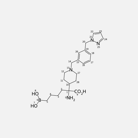 NC(CCCCB(O)O)(C(=O)O)C1CCN(Cc2cccc(Cn3cccn3)c2)CC1